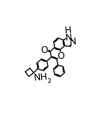 NC1(c2ccc(-c3c(-c4ccccc4)oc4c(ccc5[nH]ncc54)c3=O)cc2)CCC1